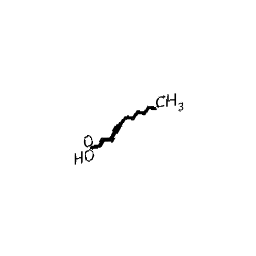 CCCCCCCC#CCCCC(=O)O